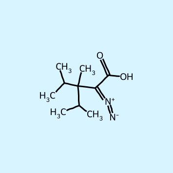 CC(C)C(C)(C(=[N+]=[N-])C(=O)O)C(C)C